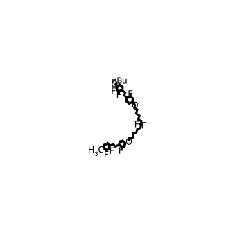 CCCCOc1ccc(CCc2ccc(OCCCCCCC(F)(F)CCCCCCOc3ccc(CCc4ccc(C)c(F)c4F)c(F)c3)cc2F)c(F)c1F